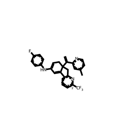 C=C(c1cc(C)ccn1)C1(Cc2cccc(C(F)(F)F)n2)CC=C(Nc2ccc(F)cc2)C=C1CCN